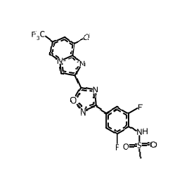 CS(=O)(=O)Nc1c(F)cc(-c2noc(-c3cn4cc(C(F)(F)F)cc(Cl)c4n3)n2)cc1F